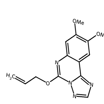 C=CCOc1nc2cc(OC)c(OC)cc2c2ncnn12